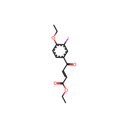 CCOC(=O)/C=C/C(=O)c1ccc(OCC)c(I)c1